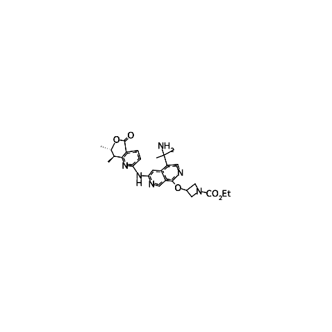 CCOC(=O)N1CC(Oc2ncc(C(C)(C)N)c3cc(Nc4ccc5c(n4)[C@@H](C)[C@H](C)OC5=O)ncc23)C1